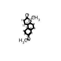 COc1ccc2c(c1)CCC1C2CCC(=O)N1C